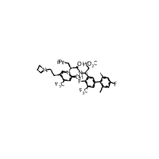 Cc1cc(F)cc(C)c1-c1cc([C@H](CC(=O)O)NC(=O)C(CC(C)C)n2cc(CCN3CCC3)c(C(F)(F)F)cc2=O)c(F)c(C(F)(F)F)c1